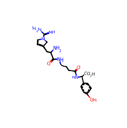 N=C(N)N1CC=C(CC(N)C(=O)NCCCC(=O)NC(C(=O)O)c2ccc(O)cc2)C1